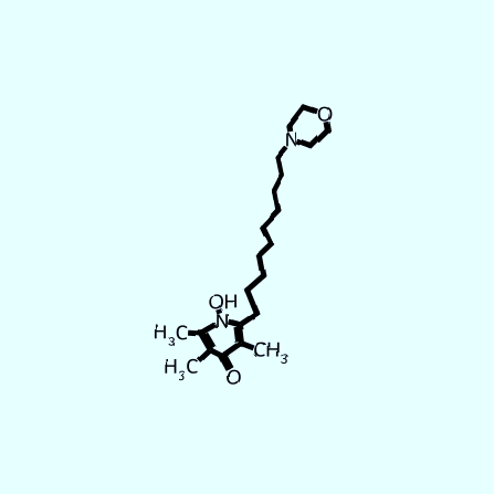 Cc1c(C)n(O)c(CCCCCCCCCCN2CCOCC2)c(C)c1=O